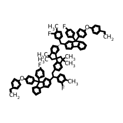 C=Cc1ccc(Oc2ccc(C3(c4ccc(F)cc4)c4ccccc4-c4ccc(C(Cc5ccc6c(c5)C5(CC6(C)C)CC(C)(C)c6ccc([C@H](c7ccc(C)c(F)c7)c7ccc8c(c7)C(c7ccc(F)cc7)(c7ccc(Oc9ccc(C=C)cc9)cc7)c7ccccc7-8)cc65)c5ccc(C)c(F)c5)cc43)cc2)cc1